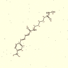 CN(C)c1ccc(/C=C/C=C/C(=O)NCCCCCC(=O)NO)cc1